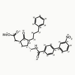 COC(=O)C[C@@H]1C[C@@H](CNC(=O)c2ccc(-c3cccc([N+](=O)[O-])c3)cc2)N(CCCc2ccccc2)C1=O